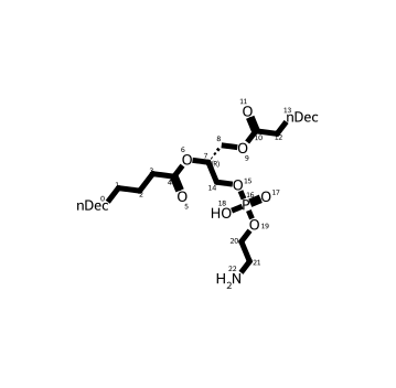 CCCCCCCCCCCCCC(=O)O[C@H](COC(=O)CCCCCCCCCCC)COP(=O)(O)OCCN